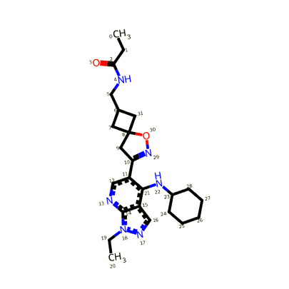 CCC(=O)NCC1CC2(CC(c3cnc4c(cnn4CC)c3NC3CCCCC3)=NO2)C1